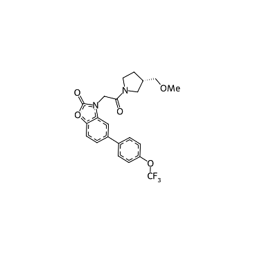 COC[C@H]1CCN(C(=O)Cn2c(=O)oc3ccc(-c4ccc(OC(F)(F)F)cc4)cc32)C1